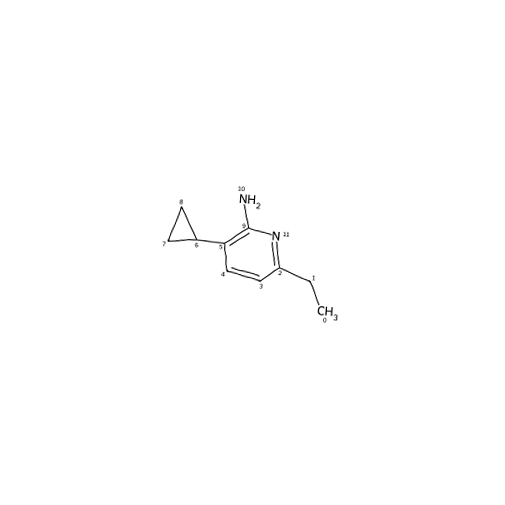 CCc1ccc(C2CC2)c(N)n1